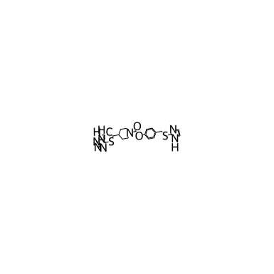 CC(Sc1nnn[nH]1)C1CCN(C(=O)Oc2ccc(CSc3ncc[nH]3)cc2)CC1